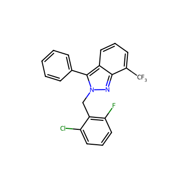 Fc1cccc(Cl)c1Cn1nc2c(C(F)(F)F)cccc2c1-c1ccccc1